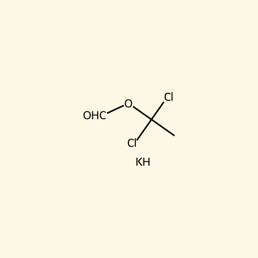 CC(Cl)(Cl)OC=O.[KH]